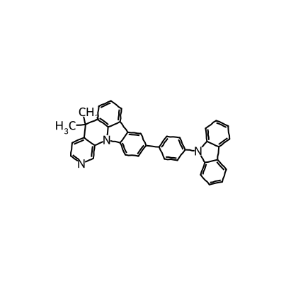 CC1(C)c2ccncc2-n2c3ccc(-c4ccc(-n5c6ccccc6c6ccccc65)cc4)cc3c3cccc1c32